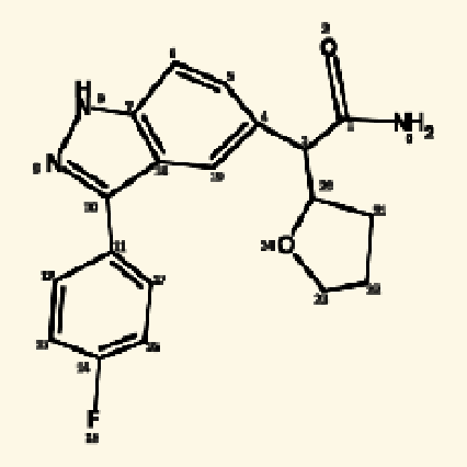 NC(=O)C(c1ccc2[nH]nc(-c3ccc(F)cc3)c2c1)C1CCCO1